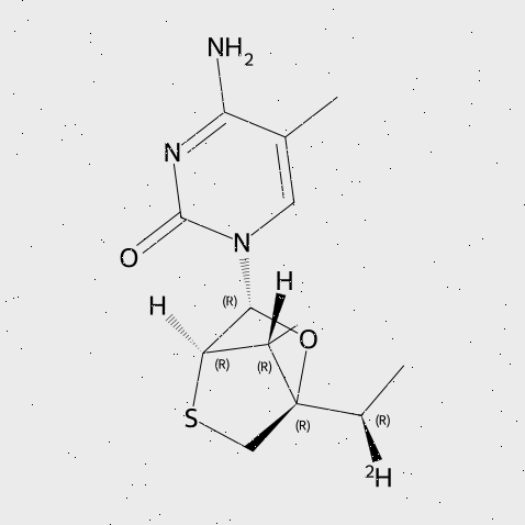 [2H][C@H](C)[C@@]12CS[C@@H]([C@H](n3cc(C)c(N)nc3=O)O1)[C@@H]2C